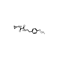 COc1ccc(CCNC(=O)C(=O)NC2CC2)cc1